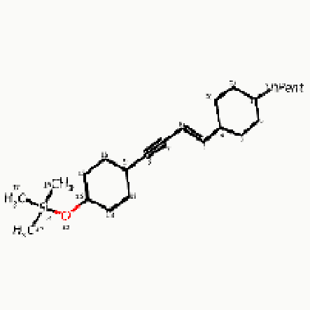 CCCCCC1CCC(C=CC#CC2CCC(O[Si](C)(C)C)CC2)CC1